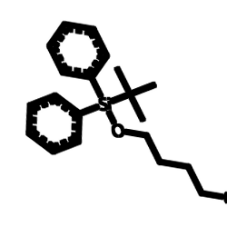 CC(C)(C)[Si](OCCCC[O])(c1ccccc1)c1ccccc1